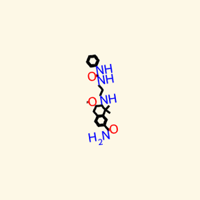 CO[C@@H]1Cc2ccc(C(N)=O)cc2C(C)(C)[C@H]1NCCCNC(=O)Nc1ccccc1